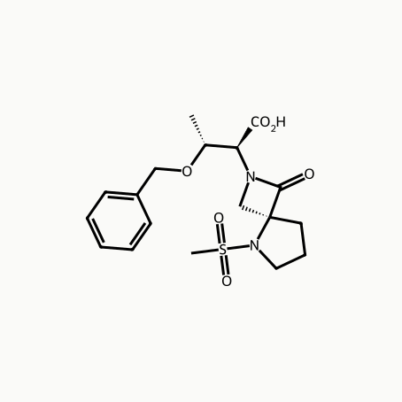 C[C@@H](OCc1ccccc1)[C@@H](C(=O)O)N1C[C@@]2(CCCN2S(C)(=O)=O)C1=O